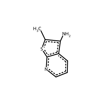 Cc1sc2ncccc2c1N